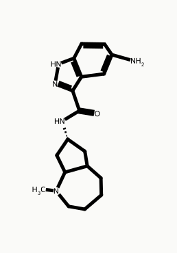 CN1CCCCC2C[C@@H](NC(=O)c3n[nH]c4ccc(N)cc34)CC21